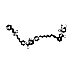 O=C(/C=C/c1cccnc1)NCCCCC1CCN(C(=O)c2ccc(N3CCN(CCCCCCCC#Cc4cccc5c4CN(C4CCC(=O)NC4=O)C5=O)CC3)nn2)CC1